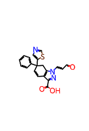 O=CC=Cn1nc(C(=O)O)c2c1CC(c1ccccc1)(c1cncs1)C=C2